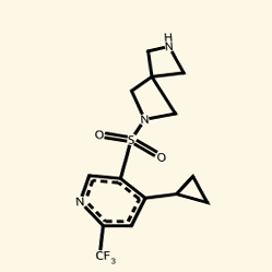 O=S(=O)(c1cnc(C(F)(F)F)cc1C1CC1)N1CC2(CNC2)C1